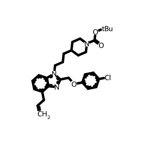 C=CCc1cccc2c1nc(COc1ccc(Cl)cc1)n2CCCC1CCN(C(=O)OC(C)(C)C)CC1